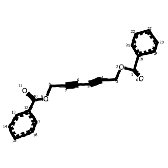 O=C(OCC#CC#CCOC(=O)c1ccccc1)c1ccccc1